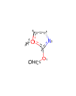 O=COc1ncco1.[H+]